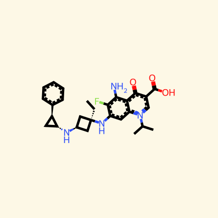 CC[C@]1(Nc2cc3c(c(N)c2F)c(=O)c(C(=O)O)cn3C(C)C)C[C@@H](N[C@@H]2C[C@H]2c2ccccc2)C1